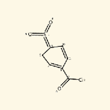 O=C(Cl)C1=CCC(=S(=O)=O)C=C1